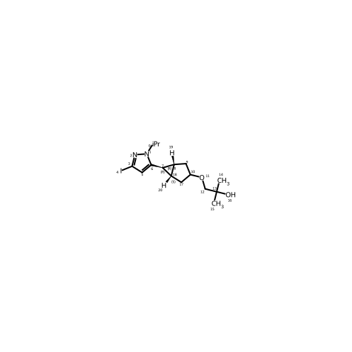 CC(C)n1nc(I)cc1[C@H]1[C@@H]2CC(OCC(C)(C)O)C[C@@H]21